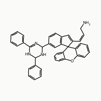 NC/C=C\C1=Cc2ccc(C3N=C(c4ccccc4)NC(c4ccccc4)N3)cc2C12c1ccccc1Oc1ccccc12